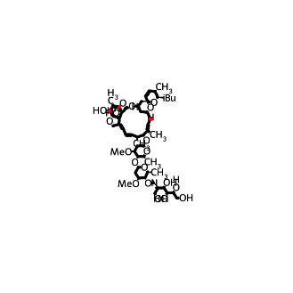 CCC(C)[C@H]1O[C@]2(C=C[C@@H]1C)C[C@@H]1C[C@@H](C/C=C(\C)[C@@H](O[C@H]3C[C@H](OC)[C@@H](O[C@H]4C[C@H](OC)[C@@H](O/N=C(\CO)C(O)C(O)C(O)CO)[C@H](C)O4)[C@H](C)O3)[C@@H](C)/C=C/C=C3\CO[C@@H]4[C@H](O)C(C)=C[C@@H](C(=O)O1)[C@]34O)O2